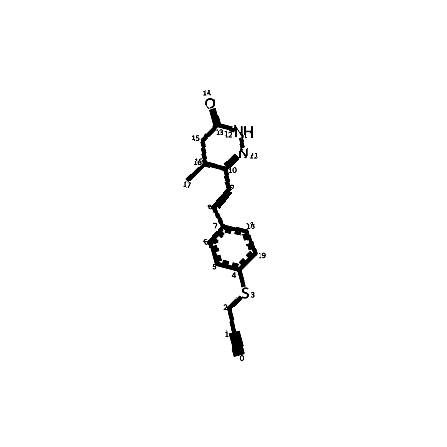 C#CCSc1ccc(C=CC2=NNC(=O)CC2C)cc1